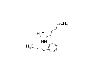 C=CCCCC(C)Nc1ccccc1CCCC